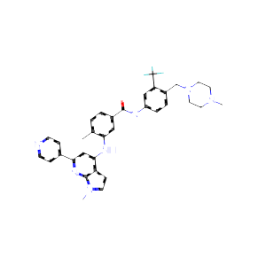 Cc1ccc(C(=O)Nc2ccc(CN3CCN(C)CC3)c(C(F)(F)F)c2)cc1Nc1cc(-c2ccncc2)nc2c1ccn2C